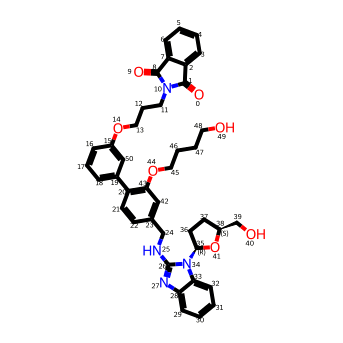 O=C1c2ccccc2C(=O)N1CCCOc1cccc(-c2ccc(CNc3nc4ccccc4n3[C@H]3CC[C@@H](CO)O3)cc2OCCCCO)c1